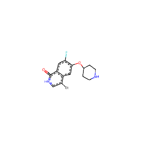 CCc1c[nH]c(=O)c2cc(F)c(OC3CCNCC3)cc12